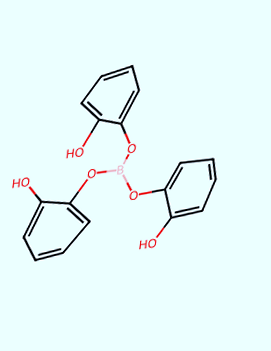 Oc1ccccc1OB(Oc1ccccc1O)Oc1ccccc1O